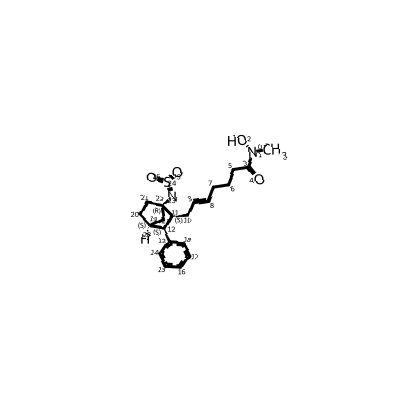 CN(O)C(=O)CCCC=CC[C@H]1[C@@H](c2ccccc2)[C@H]2CC[C@@]1(N=S(=O)=O)C2